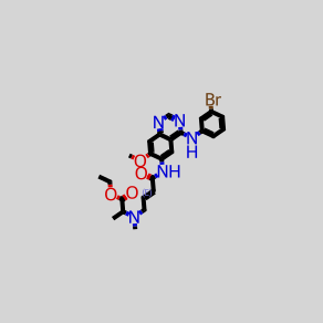 CCOC(=O)C(C)N(C)C/C=C/C(=O)Nc1cc2c(Nc3cccc(Br)c3)ncnc2cc1OC